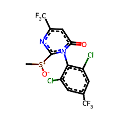 C[S+]([O-])c1nc(C(F)(F)F)cc(=O)n1-c1c(Cl)cc(C(F)(F)F)cc1Cl